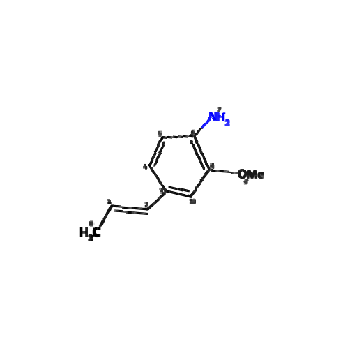 C/C=C/c1ccc(N)c(OC)c1